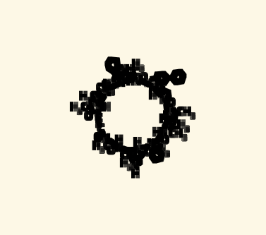 CC(C)C[C@@H]1NC(=O)[C@H](C(C)C)NC(=O)[C@H](Cc2ccccc2)N(C)C(=O)[C@H](Cc2c[nH]cn2)NC(=O)[C@H](C)NC(=O)[C@H](C)NC(=O)CSC[C@@H](C(=O)C(C)C)NC(=O)C(C(C)C)NC(=O)[C@H](Cc2c[nH]c3ccccc23)NC(=O)C(C(C)C)NC(=O)[C@H](Cc2ccc(-c3ccccc3)cc2)NC(=O)[C@@H]2CCCN2C1=O